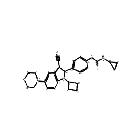 N#CC1c2cc(N3CCOCC3)ccc2N(C2CCC2)C1c1ccc(NC(=O)NC2CC2)cc1